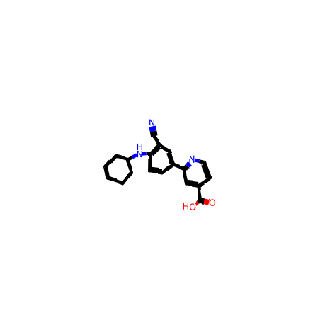 N#Cc1cc(-c2cc(C(=O)O)ccn2)ccc1NC1CCCCC1